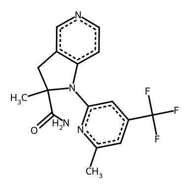 Cc1cc(C(F)(F)F)cc(N2c3ccncc3CC2(C)C(N)=O)n1